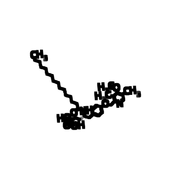 CCCCCCCCCCCCCCCC(=O)N[C@@H](CCP(=O)(O)O)Cc1ccc(OCc2ncc(C)c(OC)c2C)cc1